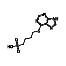 O=S(=O)(O)CCCCSc1ncnc2[nH]cnc12